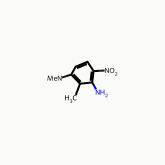 CNc1ccc([N+](=O)[O-])c(N)c1C